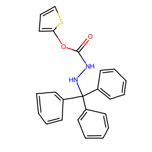 O=C(NNC(c1ccccc1)(c1ccccc1)c1ccccc1)Oc1cccs1